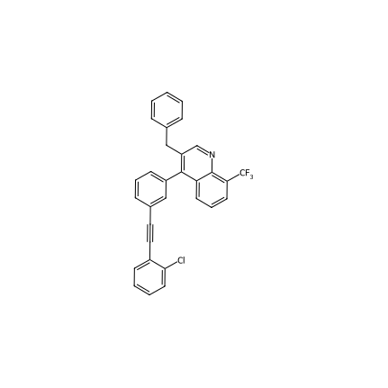 FC(F)(F)c1cccc2c(-c3cccc(C#Cc4ccccc4Cl)c3)c(Cc3ccccc3)cnc12